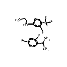 CC(N)c1ccc(F)cc1F.CCNc1ccc(C(F)(F)F)c(F)c1